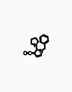 O=C=C1C=CN(Cc2ccccc2)C1N1CCCC1